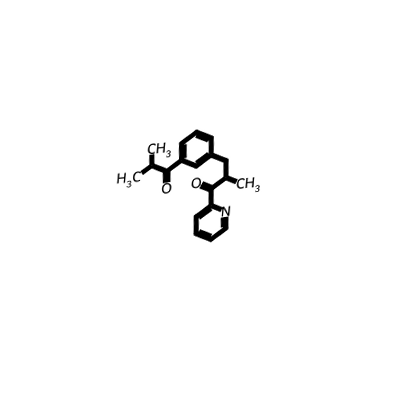 CC(C)C(=O)c1cccc(CC(C)C(=O)c2ccccn2)c1